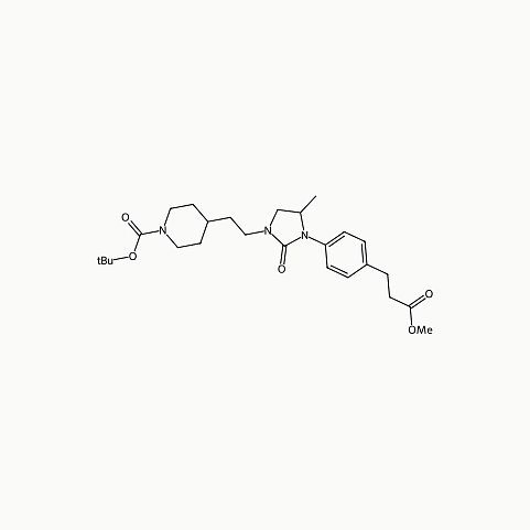 COC(=O)CCc1ccc(N2C(=O)N(CCC3CCN(C(=O)OC(C)(C)C)CC3)CC2C)cc1